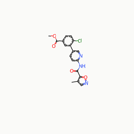 COC(=O)c1ccc(Cl)c(-c2ccc(NC(=O)c3oncc3C)nc2)c1